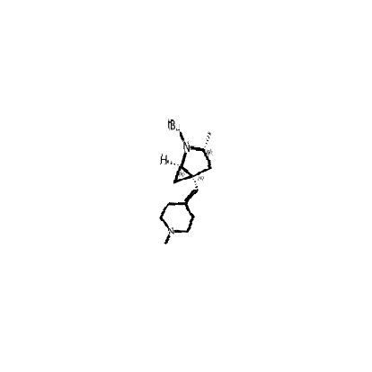 C[C@@H]1C[C@@]2(C=C3CCN(C)CC3)C[C@H]2N1C(C)(C)C